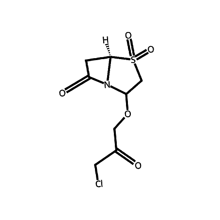 O=C(CCl)COC1CS(=O)(=O)[C@@H]2CC(=O)N12